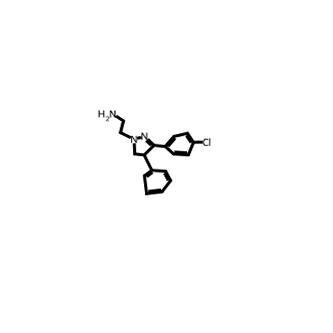 NCCN1CC(c2ccccc2)C(c2ccc(Cl)cc2)=N1